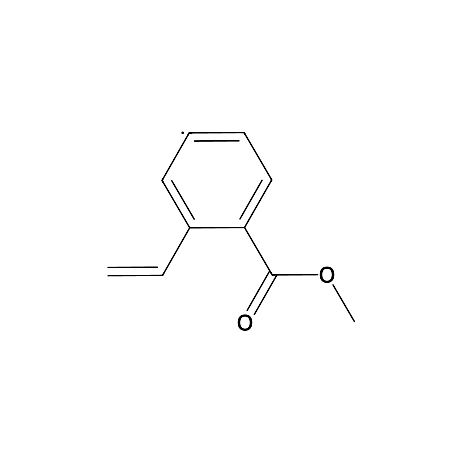 C=Cc1c[c]ccc1C(=O)OC